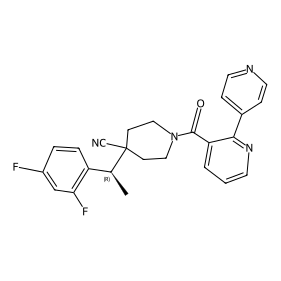 C[C@@H](c1ccc(F)cc1F)C1(C#N)CCN(C(=O)c2cccnc2-c2ccncc2)CC1